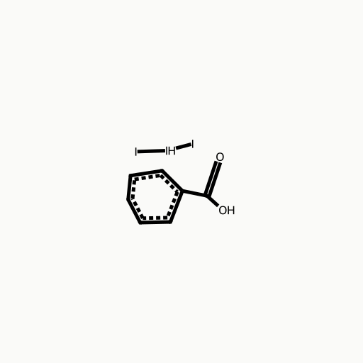 I[IH]I.O=C(O)c1ccccc1